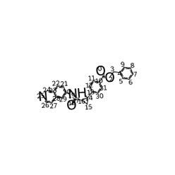 O=C(OCc1ccccc1)c1ccc(C2CC2C(=O)Nc2ccc3cnccc3c2)cc1